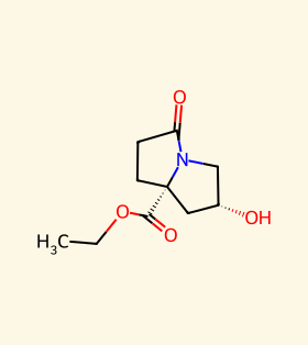 CCOC(=O)[C@]12CCC(=O)N1C[C@H](O)C2